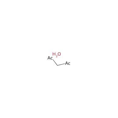 CC(=O)CC(C)=O.O